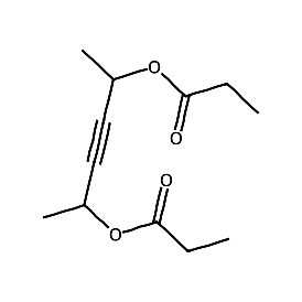 CCC(=O)OC(C)C#CC(C)OC(=O)CC